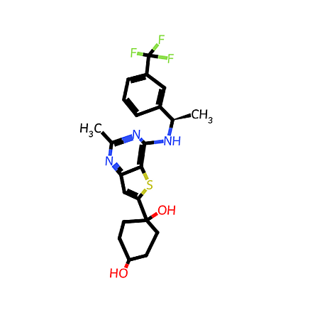 Cc1nc(N[C@H](C)c2cccc(C(F)(F)F)c2)c2sc(C3(O)CCC(O)CC3)cc2n1